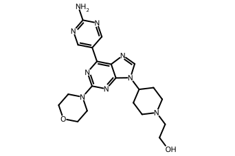 Nc1ncc(-c2nc(N3CCOCC3)nc3c2ncn3C2CCN(CCO)CC2)cn1